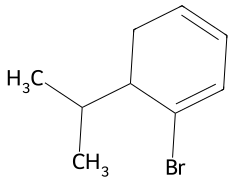 CC(C)C1CC=CC=C1Br